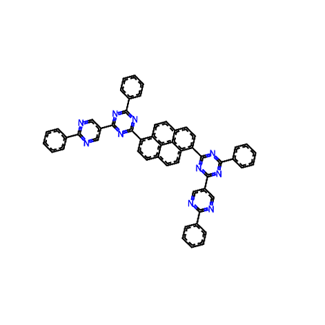 c1ccc(-c2ncc(-c3nc(-c4ccccc4)nc(-c4ccc5ccc6c(-c7nc(-c8ccccc8)nc(-c8cnc(-c9ccccc9)nc8)n7)ccc7ccc4c5c76)n3)cn2)cc1